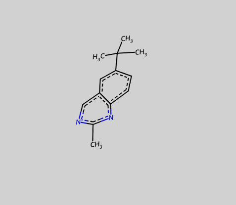 Cc1ncc2cc(C(C)(C)C)ccc2n1